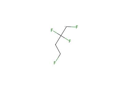 F[CH]C(F)(F)CCF